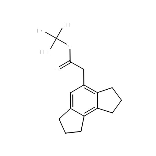 CC(C)(C)OC(=O)Cc1cc2c(c3c1CCC3)CCC2